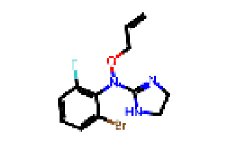 C=CCON(C1=NCCN1)c1c(F)cccc1Br